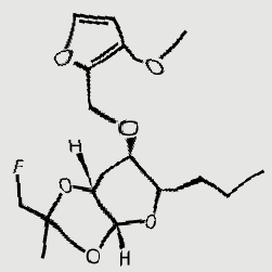 CCC[C@H]1O[C@@H]2OC(C)(CF)O[C@@H]2[C@H]1OCc1occc1OC